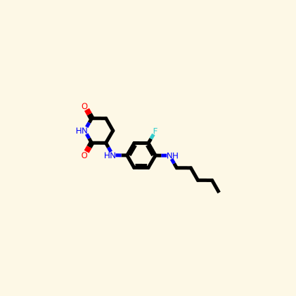 CCCCCNc1ccc(NC2CCC(=O)NC2=O)cc1F